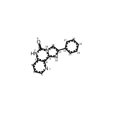 O=c1[nH]c2cccnc2c2nc(-c3ccccc3)cn12